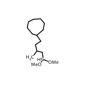 CO[SiH](CC(C)CCC1CCCCCCC1)OC